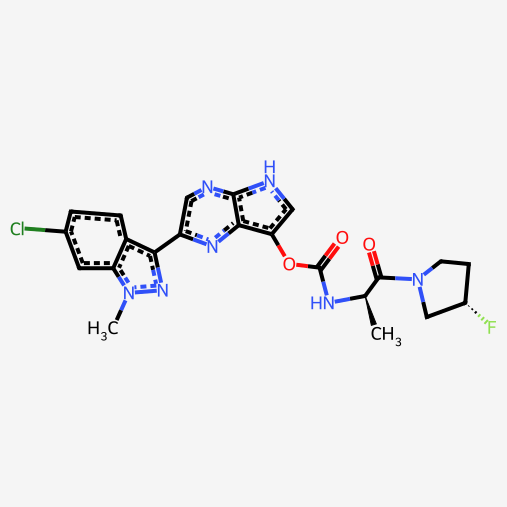 C[C@@H](NC(=O)Oc1c[nH]c2ncc(-c3nn(C)c4cc(Cl)ccc34)nc12)C(=O)N1CC[C@H](F)C1